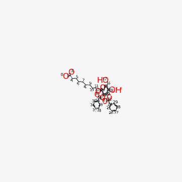 COC(=O)CCCCCCCCO[C@@H]1O[C@H](CO)[C@H](O)[C@H](OC(=O)c2ccccc2)[C@H]1OC(=O)c1ccccc1